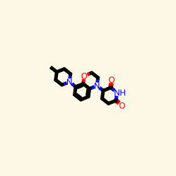 CC1CCN(c2cccc3c2OCCN3C2CCC(=O)NC2=O)CC1